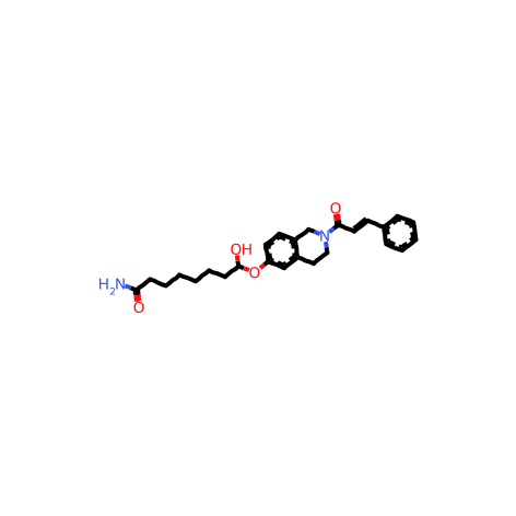 NC(=O)CCCCCCC(O)Oc1ccc2c(c1)CCN(C(=O)C=Cc1ccccc1)C2